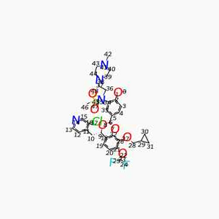 COc1ccc(C(=O)O[C@@H](Cc2ccncc2Cl)c2ccc(OC(F)F)c(OCC3CC3)c2)cc1N(CCN1CCN(C)CC1)S(C)(=O)=O